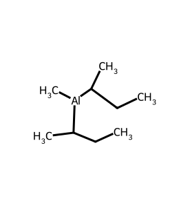 CC[CH](C)[Al]([CH3])[CH](C)CC